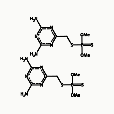 COP(=S)(OC)SCc1nc(N)nc(N)n1.COP(=S)(OC)SCc1nc(N)nc(N)n1